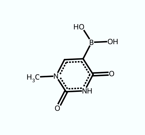 Cn1cc(B(O)O)c(=O)[nH]c1=O